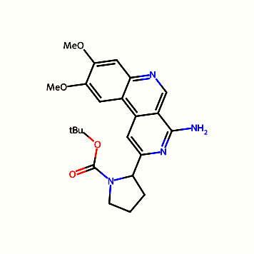 COc1cc2ncc3c(N)nc(C4CCCN4C(=O)OC(C)(C)C)cc3c2cc1OC